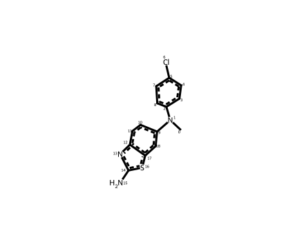 CN(c1ccc(Cl)cc1)c1ccc2nc(N)sc2c1